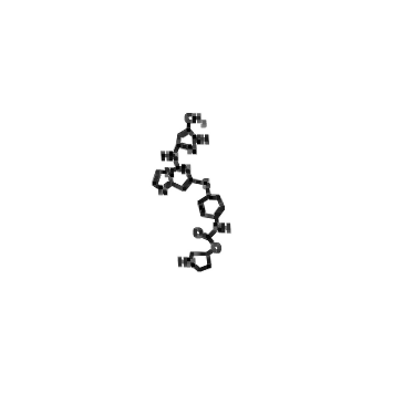 Cc1cc(Nc2nc(Sc3ccc(NC(=O)OC4CCNC4)cc3)cc3nccn23)n[nH]1